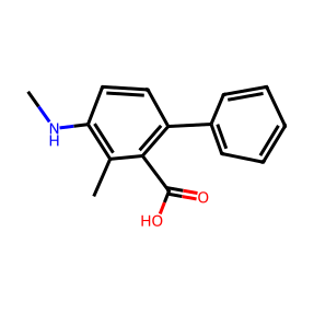 CNc1ccc(-c2ccccc2)c(C(=O)O)c1C